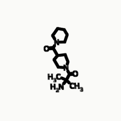 CC(C)(N)C(=O)N1CCC(C(=O)N2CCCCC2)CC1